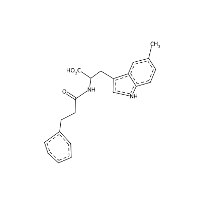 Cc1ccc2[nH]cc(CC(NC(=O)CCc3ccccc3)C(=O)O)c2c1